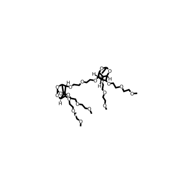 COCCOCCOC1C2OC3O[C@@H]1C(OCCOCCOC)[C@@H](O3)[C@@H]2OCCOCCO[C@H]1C2OC3OC1C(OCCOCCOC)[C@H](O3)C2OCCOCCOC